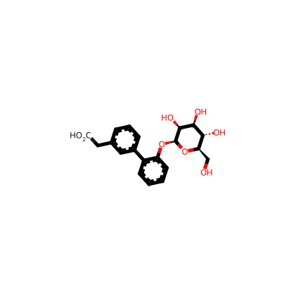 O=C(O)Cc1cccc(-c2c[c]ccc2O[C@@H]2O[C@H](CO)[C@@H](O)[C@H](O)[C@@H]2O)c1